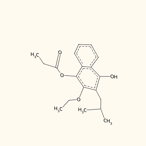 CCOc1c(CC(C)C)c(O)c2ccccc2c1OC(=O)CC